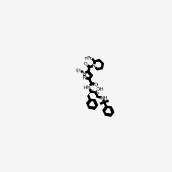 CCCC1CCCCN1C(=O)c1cc(C(=O)N[C@@H](Cc2ccccc2)[C@H](O)CNC(C)(C)c2ccccc2)nn1CC